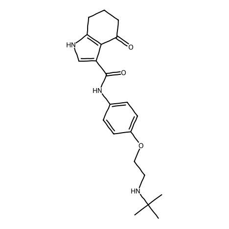 CC(C)(C)NCCOc1ccc(NC(=O)c2c[nH]c3c2C(=O)CCC3)cc1